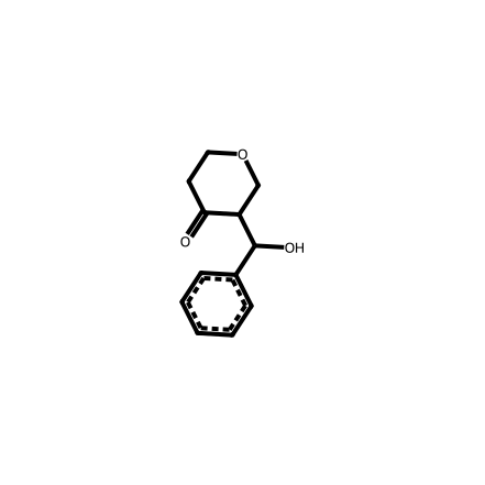 O=C1CCOCC1C(O)c1ccccc1